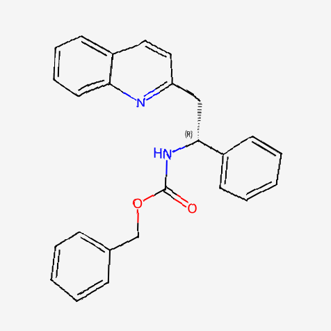 O=C(N[C@H](Cc1ccc2ccccc2n1)c1ccccc1)OCc1ccccc1